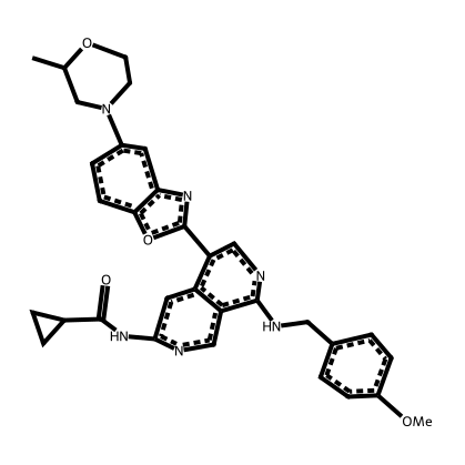 COc1ccc(CNc2ncc(-c3nc4cc(N5CCOC(C)C5)ccc4o3)c3cc(NC(=O)C4CC4)ncc23)cc1